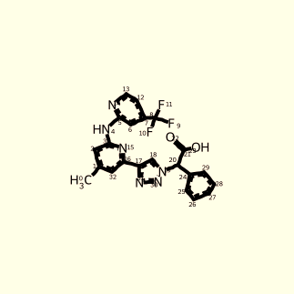 Cc1cc(Nc2cc(C(F)(F)F)ccn2)nc(-c2cn(C(C(=O)O)c3ccccc3)nn2)c1